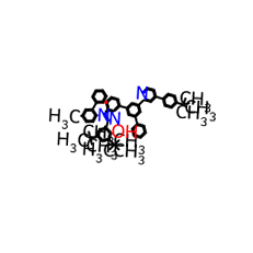 Cc1ccc(-n2c(-c3cc(C(C)(C)C)cc(C(C)(C)C)c3O)nc3c(-c4cc(-c5ccccc5)cc(-c5cc(-c6ccc(C(C)(C)C)cc6)ccn5)c4)cccc32)c(-c2ccccc2)c1